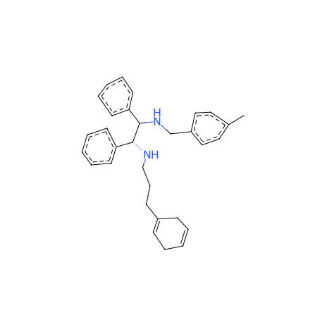 Cc1ccc(CNC(c2ccccc2)[C@H](NCCCC2=CCC=CC2)c2ccccc2)cc1